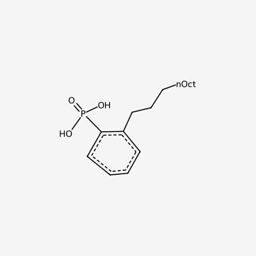 CCCCCCCCCCCc1ccccc1P(=O)(O)O